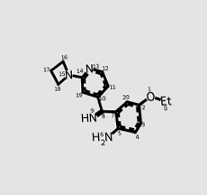 CCOc1ccc(N)c(C(=N)c2ccnc(N3CCC3)c2)c1